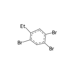 [CH2]Cc1cc(Br)c(Br)cc1Br